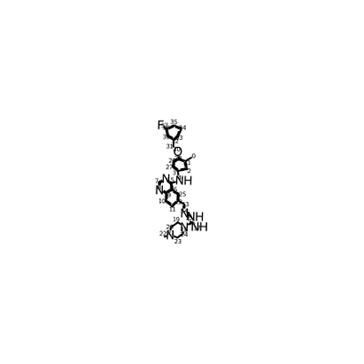 Cc1cc(Nc2ncnc3ccc(/C=N/NC(=N)N4CCN(C)CC4)cc23)ccc1OCc1cccc(F)c1